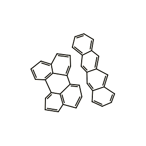 c1cc2cccc3c4cccc5cccc(c(c1)c23)c54.c1ccc2cc3cc4ccccc4cc3cc2c1